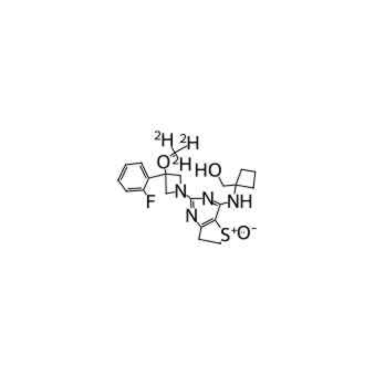 [2H]C([2H])([2H])OC1(c2ccccc2F)CN(c2nc3c(c(NC4(CO)CCC4)n2)[S@+]([O-])CC3)C1